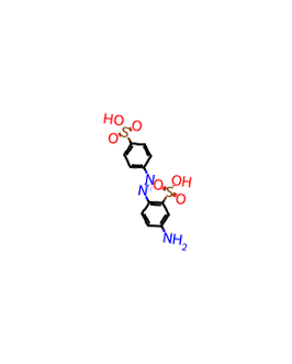 Nc1ccc(/N=N/c2ccc(S(=O)(=O)O)cc2)c(S(=O)(=O)O)c1